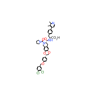 Cc1nccc(-c2ccc(C[C@H](NC(=O)[C@@H]3Cc4cc5c(cc4CN3C(=O)N3CCCC3)O[C@@H](c3ccc(OCc4ccc(Cl)c(Cl)c4)cc3)CO5)C(=O)O)cc2)c1C